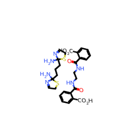 NC1(CCCC2(N)N=CCS2)N=CCS1.O=C(O)c1ccccc1C(=O)NCCNC(=O)c1ccccc1C(=O)O